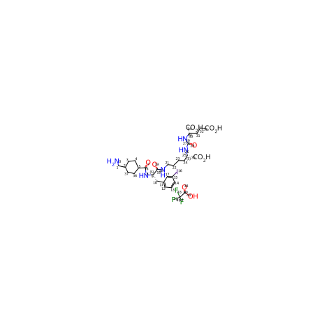 NCC1CCC(C(=O)N[C@@H](Cc2cccc(I)c2)C(=O)NCCCC[C@H](NC(=O)N[C@@H](CCC(=O)O)C(=O)O)C(=O)O)CC1.O=C(O)C(F)(F)F